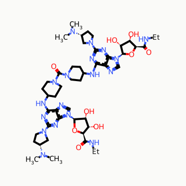 CCNC(=O)[C@H]1O[C@@H](n2cnc3c(NC4CCN(C(=O)N5CCC(Nc6nc(N7CC[C@@H](N(C)C)C7)nc7c6ncn7[C@@H]6O[C@H](C(=O)NCC)[C@@H](O)[C@H]6O)CC5)CC4)nc(N4CC[C@@H](N(C)C)C4)nc32)[C@H](O)[C@@H]1O